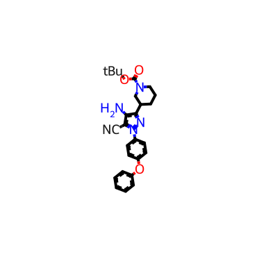 CC(C)(C)OC(=O)N1CCCC(c2nn(-c3ccc(Oc4ccccc4)cc3)c(C#N)c2N)C1